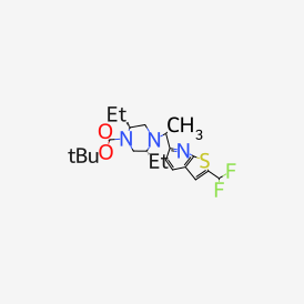 CC[C@H]1CN(C(C)c2ccc3cc(C(F)F)sc3n2)[C@H](CC)CN1C(=O)OC(C)(C)C